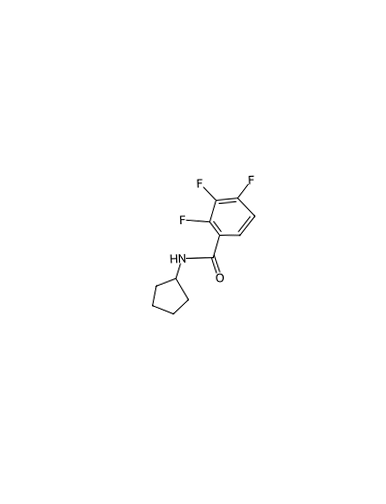 O=C(NC1CCCC1)c1ccc(F)c(F)c1F